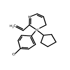 C=CC1=NC=CC[N+]1(c1ccc(Cl)cc1)C1CCCC1